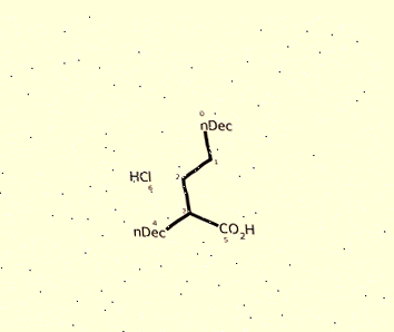 CCCCCCCCCCCCC(CCCCCCCCCC)C(=O)O.Cl